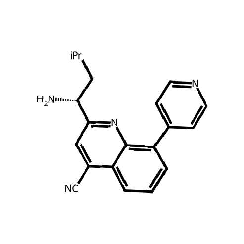 CC(C)C[C@@H](N)c1cc(C#N)c2cccc(-c3ccncc3)c2n1